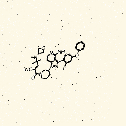 CN(C1COC1)C(C)(C)C=C(C#N)C(=O)N1CCCC(n2nc(-c3ccc(Oc4ccccc4)cc3F)c3c(N)nccc32)C1